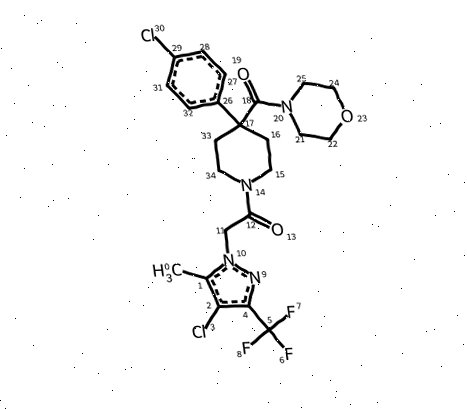 Cc1c(Cl)c(C(F)(F)F)nn1CC(=O)N1CCC(C(=O)N2CCOCC2)(c2ccc(Cl)cc2)CC1